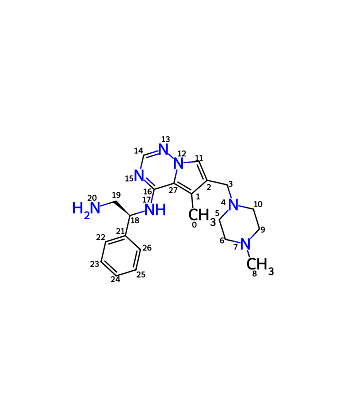 Cc1c(CN2CCN(C)CC2)cn2ncnc(N[C@H](CN)c3ccccc3)c12